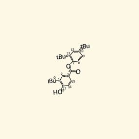 CCC(C)c1cc(C(=O)Oc2ccc(C(C)(C)C)cc2C(C)(C)C)ccc1O